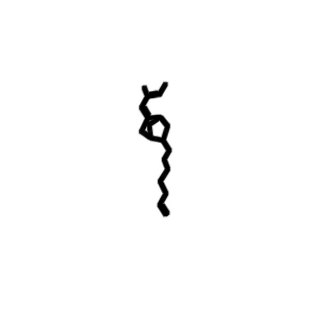 C=CCCCCCC1CC2CC1CC2=CC(C)=CC